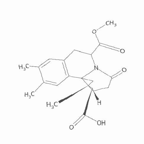 COC(=O)C1Cc2cc(C)c(C)cc2C23C[C@H](C)[C@@H](C(=O)O)[C@@H]2CC(=O)N13